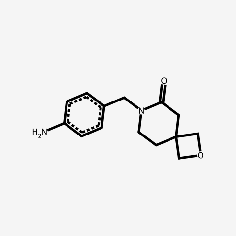 Nc1ccc(CN2CCC3(COC3)CC2=O)cc1